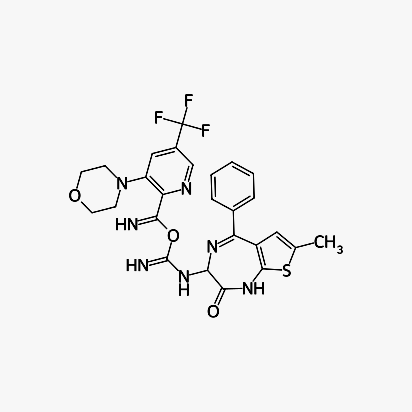 Cc1cc2c(s1)NC(=O)C(NC(=N)OC(=N)c1ncc(C(F)(F)F)cc1N1CCOCC1)N=C2c1ccccc1